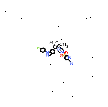 Cc1cc2c(cnn2-c2ccc(F)cc2)cc1[C@H]1CN(S(=O)(=O)c2ccc(C#N)nc2)CCN1CC(C)C